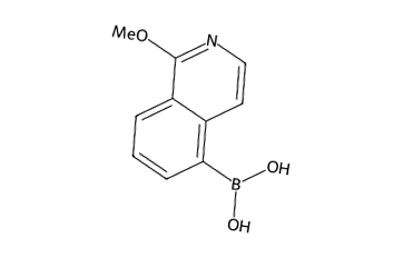 COc1nccc2c(B(O)O)cccc12